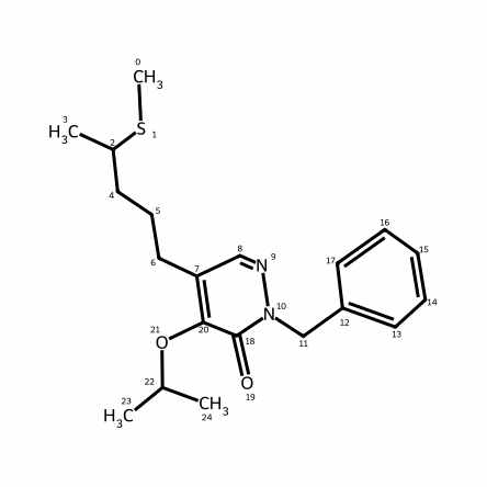 CSC(C)CCCc1cnn(Cc2ccccc2)c(=O)c1OC(C)C